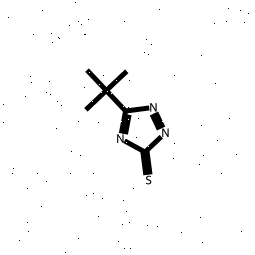 CC(C)(C)C1=NC(=S)N=N1